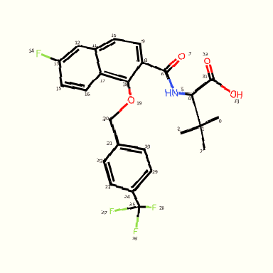 CC(C)(C)C(NC(=O)c1ccc2cc(F)ccc2c1OCc1ccc(C(F)(F)F)cc1)C(=O)O